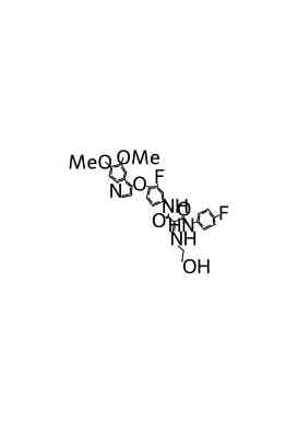 COc1cc2nccc(Oc3ccc(NC(=O)/C(=C/NCCCO)C(=O)Nc4ccc(F)cc4)cc3F)c2cc1OC